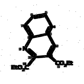 CCOC(=O)c1cc2ccccc2nc1C(=O)OCC